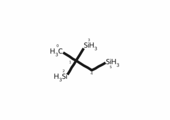 CC([SiH3])([SiH3])C[SiH3]